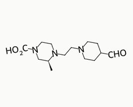 C[C@H]1CN(C(=O)O)CCN1CCN1CCC(C=O)CC1